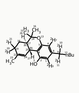 [2H]c1c(O)c2c(c([2H])c1C([2H])([2H])CCCC)OC(C)(C)[C@@H]1CC([2H])([2H])C(C)=C[C@@H]21